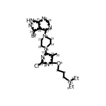 CCN(CC)CCCOc1nc(Cl)nc(N2CCN(c3ncnc4[nH]nc(Br)c34)CC2)c1C